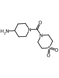 NC1CCN(C(=O)N2CCS(=O)(=O)CC2)CC1